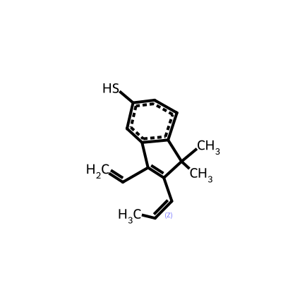 C=CC1=C(/C=C\C)C(C)(C)c2ccc(S)cc21